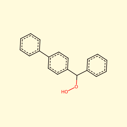 OOC(c1ccccc1)c1ccc(-c2ccccc2)cc1